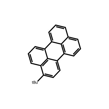 CC(C)(C)c1ccc2c3cccc4cccc(c5cccc1c52)c43